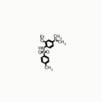 CCOc1cc(N(C)C)ccc1NS(=O)(=O)c1ccc(C)cc1